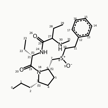 CCC[C@H]1CC[C@@H](C[S+]([O-])CCc2ccccc2)N1C(=O)[C@H](CC)NC(=O)C(CC)NC